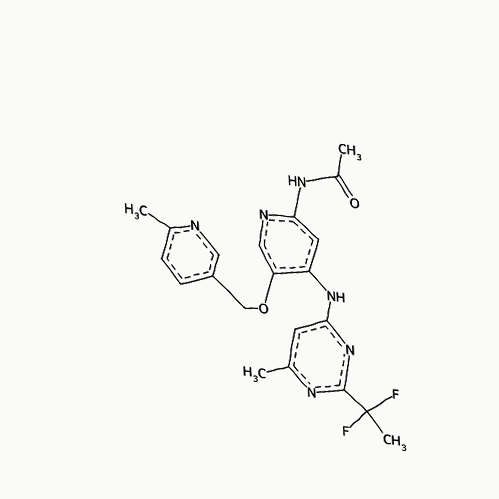 CC(=O)Nc1cc(Nc2cc(C)nc(C(C)(F)F)n2)c(OCc2ccc(C)nc2)cn1